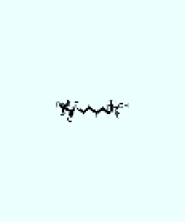 O=C(NCCCCC[PH](O)(Cl)Cl)C(F)(F)F